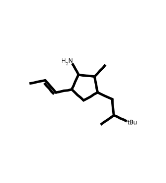 C/C=C/C1CC(CC(C)C(C)(C)C)C(C)C1N